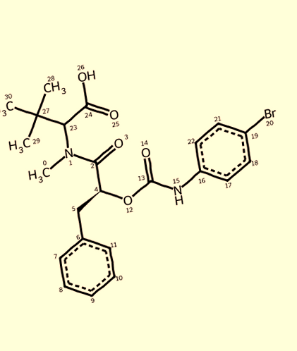 CN(C(=O)[C@H](Cc1ccccc1)OC(=O)Nc1ccc(Br)cc1)C(C(=O)O)C(C)(C)C